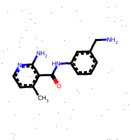 Cc1ccnc(N)c1C(=O)Nc1cccc(CN)c1